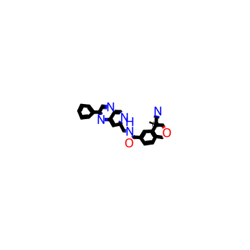 C[C@@]1(C#N)COCc2ccc(C(=O)NCc3cc4nc(-c5ccccc5)cnc4cn3)cc21